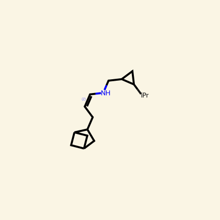 CC(C)C1CC1CN/C=C\CC1CC2CC1C2